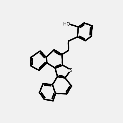 Oc1ccccc1CCc1cc2ccccc2c2c1sc1ccc3ccccc3c12